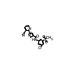 CS(=O)(=O)c1cc(Cl)cc(NC(=O)c2cnn(-c3ncccc3C#N)c2)c1